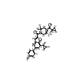 CC1(c2cc(-c3ccc(F)cc3)nc3cc(C(=O)N4CCN(C(=O)C5(C(F)(F)F)CC5)CC4(C)C)oc23)CC1